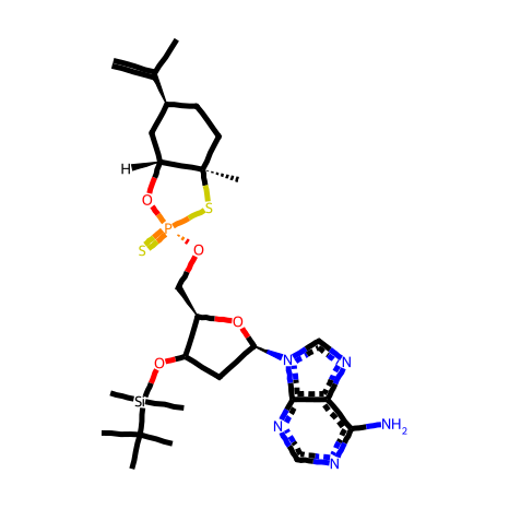 C=C(C)[C@H]1CC[C@@]2(C)S[P@](=S)(OC[C@H]3O[C@@H](n4cnc5c(N)ncnc54)CC3O[Si](C)(C)C(C)(C)C)O[C@@H]2C1